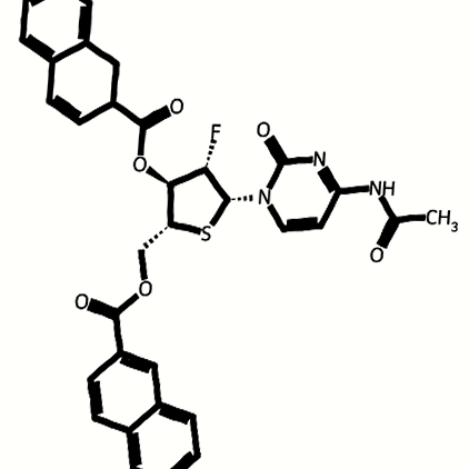 CC(=O)Nc1ccn([C@@H]2S[C@H](COC(=O)c3ccc4ccccc4c3)[C@@H](OC(=O)C3C=Cc4ccccc4C3)[C@@H]2F)c(=O)n1